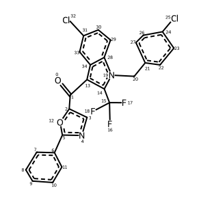 O=C(c1cnc(-c2ccccc2)o1)c1c(C(F)(F)F)n(Cc2ccc(Cl)cc2)c2ccc(Cl)cc12